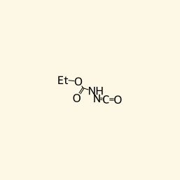 CCOC(=O)NN=C=O